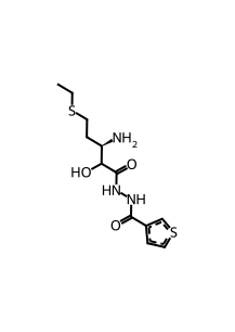 CCSCC[C@@H](N)C(O)C(=O)NNC(=O)c1ccsc1